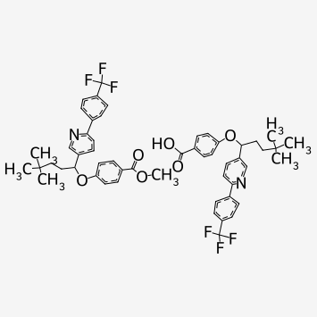 CC(C)(C)CCC(Oc1ccc(C(=O)O)cc1)c1ccc(-c2ccc(C(F)(F)F)cc2)nc1.COC(=O)c1ccc(OC(CCC(C)(C)C)c2ccc(-c3ccc(C(F)(F)F)cc3)nc2)cc1